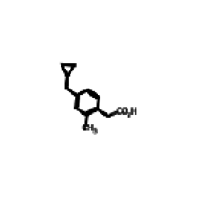 Cc1cc(CC2CC2)ccc1CC(=O)O